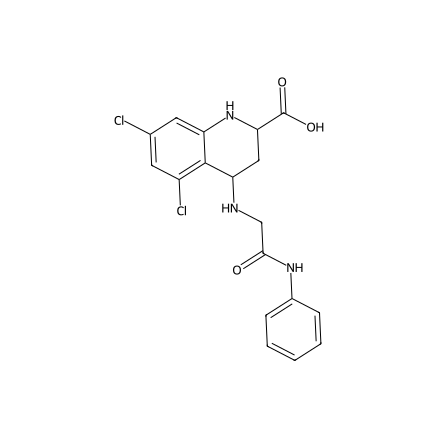 O=C(CNC1CC(C(=O)O)Nc2cc(Cl)cc(Cl)c21)Nc1ccccc1